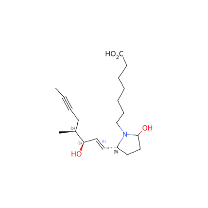 CC#CC[C@H](C)[C@H](O)/C=C/[C@H]1CCC(O)N1CCCCCCC(=O)O